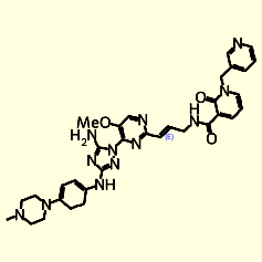 COc1cnc(/C=C/CNC(=O)c2cccn(Cc3cccnc3)c2=O)nc1-n1nc(NC2=CC=C(N3CCN(C)CC3)CC2)nc1N